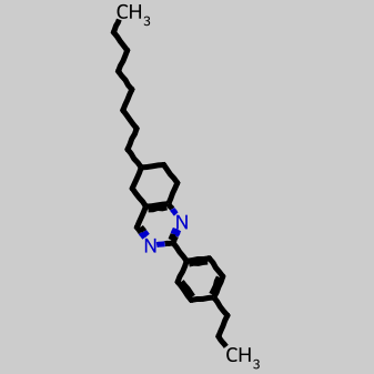 CCCCCCCCC1CCc2nc(-c3ccc(CCC)cc3)ncc2C1